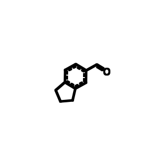 O=Cc1ccc2c(c1)CCC2